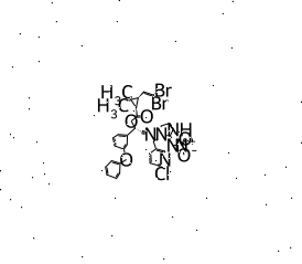 CC1(C)[C@H](C(=O)O[C@H](C#N)c2cccc(Oc3ccccc3)c2)[C@@H]1C=C(Br)Br.O=[N+]([O-])/N=C1\NCCN1Cc1ccc(Cl)nc1